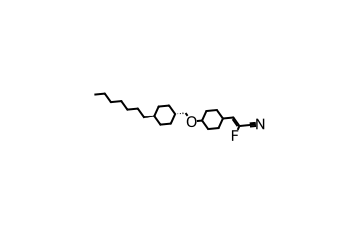 CCCCCCC[C@H]1CC[C@H](COC2CCC(C=C(F)C#N)CC2)CC1